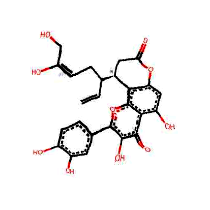 C=CC(C/C=C(/O)CO)[C@H]1CC(=O)Oc2cc(O)c3c(=O)c(O)c(-c4ccc(O)c(O)c4)oc3c21